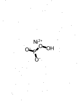 [Ni+2].[O-]P([O-])OO